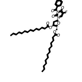 CCCCCCCCCCCCCC(=O)OC[C@H]1O[C@@H](n2cc(F)c(=O)n(C(=O)c3ccc(C)cc3)c2=O)C[C@@H]1OC(=O)CCCCCCCCCCCCC